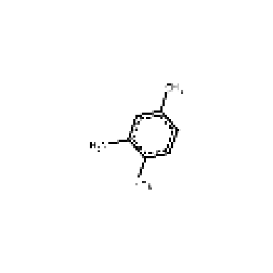 Cc1[c]cc(C)c(N)c1